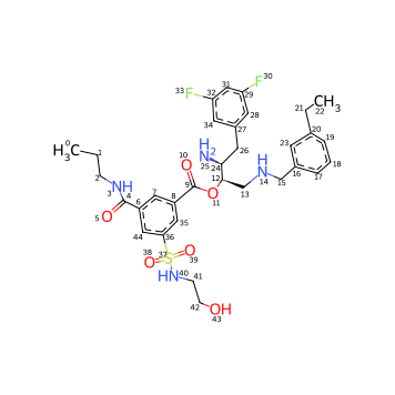 CCCNC(=O)c1cc(C(=O)O[C@H](CNCc2cccc(CC)c2)[C@@H](N)Cc2cc(F)cc(F)c2)cc(S(=O)(=O)NCCO)c1